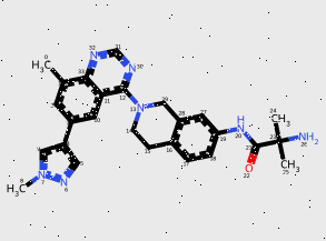 Cc1cc(-c2cnn(C)c2)cc2c(N3CCc4ccc(NC(=O)C(C)(C)N)cc4C3)ncnc12